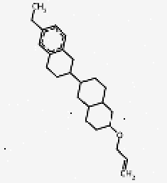 C=CCOC1CCC2CC(C3CCc4cc(CC)ccc4C3)CCC2C1